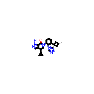 Cn1cnnc1[C@]1(c2cccc(-n3cc(C4CC4)c4cn[nH]c4c3=O)c2)C[C@H](C)C1